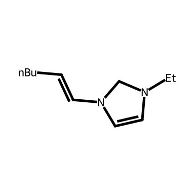 CCCCC=CN1C=CN(CC)C1